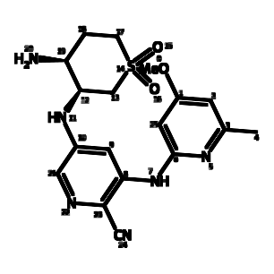 COc1cc(C)nc(Nc2cc(N[C@@H]3CS(=O)(=O)CC[C@@H]3N)cnc2C#N)c1